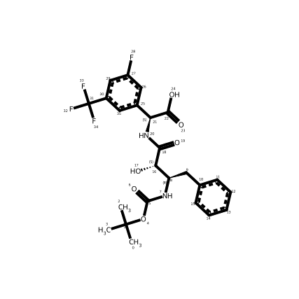 CC(C)(C)OC(=O)N[C@H](Cc1ccccc1)[C@H](O)C(=O)N[C@H](C(=O)O)c1cc(F)cc(C(F)(F)F)c1